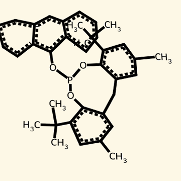 Cc1cc2c(c(C(C)(C)C)c1)OP(Oc1c3ccccc3cc3ccccc13)Oc1c(cc(C)cc1C(C)(C)C)C2